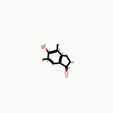 Cc1cc2c(c(C)c1Br)CCC2=O